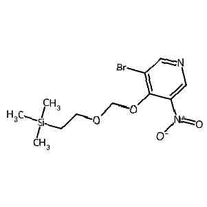 C[Si](C)(C)CCOCOc1c(Br)cncc1[N+](=O)[O-]